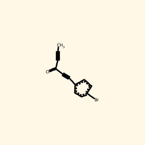 CC#CC(=O)C#Cc1ccc(Br)cc1